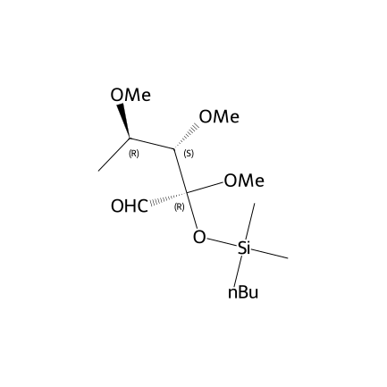 CCCC[Si](C)(C)O[C@](C=O)(OC)[C@@H](OC)[C@@H](C)OC